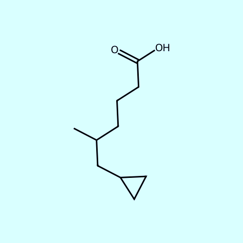 CC(CCCC(=O)O)CC1CC1